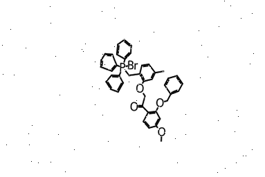 COc1ccc(C(=O)COc2cc(C)ccc2CP(Br)(c2ccccc2)(c2ccccc2)c2ccccc2)c(OCc2ccccc2)c1